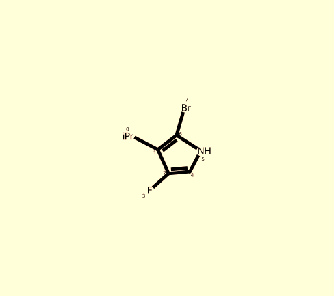 CC(C)c1c(F)c[nH]c1Br